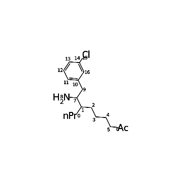 CCCC(CCCCC(C)=O)C(N)Cc1cccc(Cl)c1